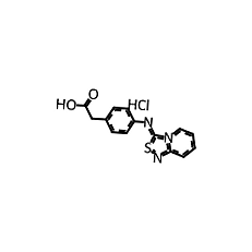 Cl.O=C(O)Cc1ccc(/N=c2\snc3ccccn23)cc1